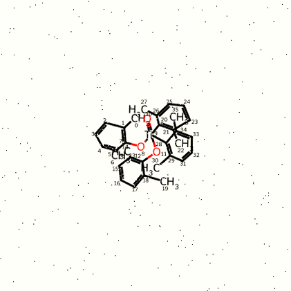 Cc1cccc(C)c1[O][Ti](=[O])([O]c1c(C)cccc1C)([c]1c(C)cccc1C)[c]1c(C)cccc1C